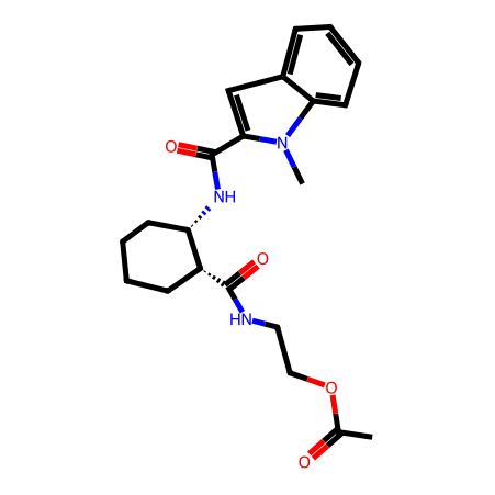 CC(=O)OCCNC(=O)[C@@H]1CCCC[C@@H]1NC(=O)c1cc2ccccc2n1C